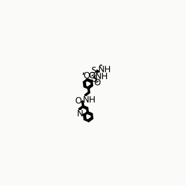 CNC(=S)NS(=O)(=O)c1cc(CCNC(=O)c2cnc3ccccc3c2)ccc1OC